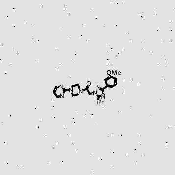 COc1cccc(-c2nc(C(C)C)n(CC(=O)N3CCN(c4ncccn4)CC3)n2)c1